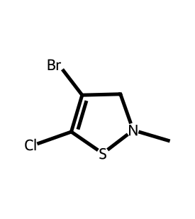 CN1CC(Br)=C(Cl)S1